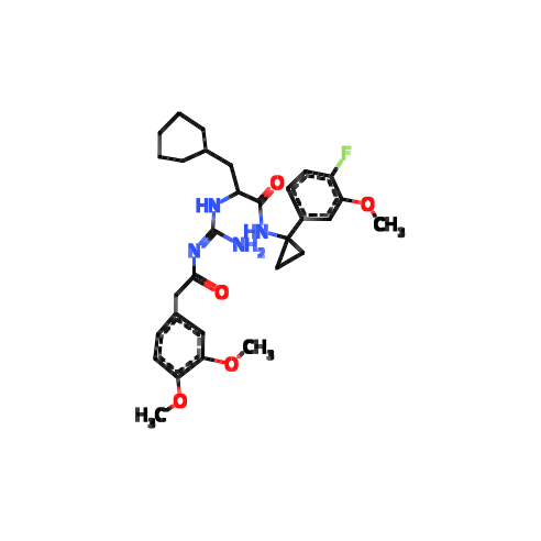 COc1cc(C2(NC(=O)C(CC3CCCCC3)NC(N)=NC(=O)Cc3ccc(OC)c(OC)c3)CC2)ccc1F